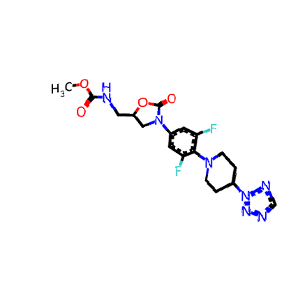 COC(=O)NCC1CN(c2cc(F)c(N3CCC(n4ncnn4)CC3)c(F)c2)C(=O)O1